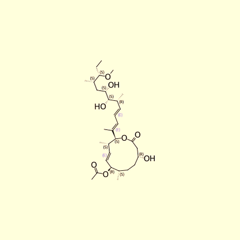 CC[C@H](OC)[C@@H](C)C[C@H](O)[C@@H](O)[C@H](C)/C=C/C=C(\C)[C@H]1OC(=O)C[C@H](O)CC[C@H](C)[C@@H](OC(C)=O)/C=C/[C@@H]1C